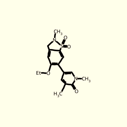 CCOc1cc2c(cc1-c1cc(C)c(=O)n(C)c1)S(=O)(=O)N(C)C2